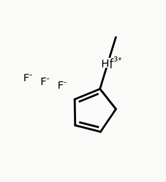 [CH3][Hf+3][C]1=CC=CC1.[F-].[F-].[F-]